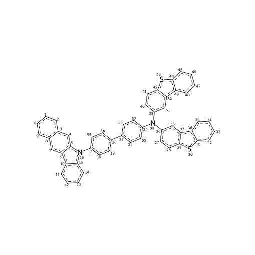 c1ccc2cc3c(cc2c1)c1ccccc1n3-c1ccc(-c2ccc(N(c3ccc4sc5ccccc5c4c3)c3ccc4sc5ccccc5c4c3)cc2)cc1